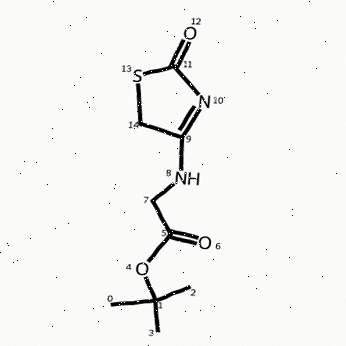 CC(C)(C)OC(=O)CNC1=NC(=O)SC1